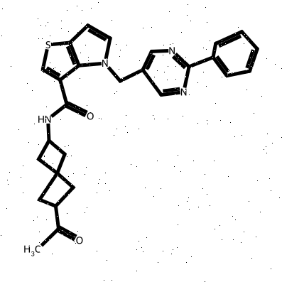 CC(=O)C1CC2(CC(NC(=O)c3csc4ccn(Cc5cnc(-c6ccccc6)nc5)c34)C2)C1